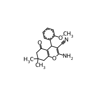 COc1ccccc1C1C(C#N)=C(N)OC2=C1C(=O)CC(C)(C)C2